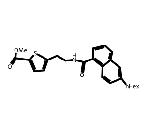 CCCCCCc1ccc2c(C(=O)NCCc3ccc(C(=O)OC)s3)cccc2c1